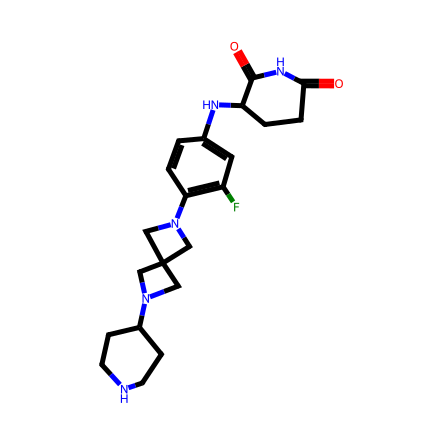 O=C1CCC(Nc2ccc(N3CC4(C3)CN(C3CCNCC3)C4)c(F)c2)C(=O)N1